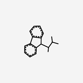 C[C](C)C(C)C1c2ccccc2-c2ccccc21